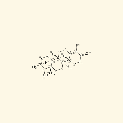 C[C@]12CC[C@H]3[C@@H](CCC4=C(F)C(=O)CC[C@@H]43)[C@@H]1CC=C(Cl)C2O